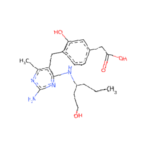 CCCC(CCO)Nc1nc(N)nc(C)c1Cc1ccc(CC(=O)O)cc1O